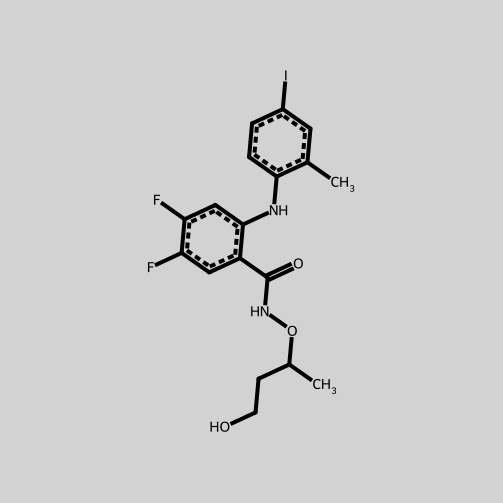 Cc1cc(I)ccc1Nc1cc(F)c(F)cc1C(=O)NOC(C)CCO